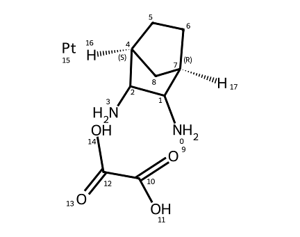 NC1C(N)[C@H]2CC[C@@H]1C2.O=C(O)C(=O)O.[Pt]